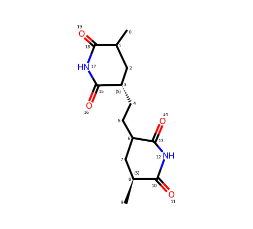 CC1C[C@H](CCC2C[C@H](C)C(=O)NC2=O)C(=O)NC1=O